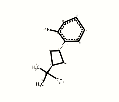 CC(C)(C)[C@H]1C[C@H](c2ccccc2F)C1